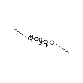 CCCCCCCCCC[C@H]1CC[C@H](c2ccc(C(=O)Oc3ccc(-c4ncc(CCCCCCCCC)cn4)cc3)cc2F)CC1